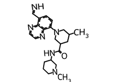 CC1CC(C(=O)NC2CCCN(C)C2)CN(c2ccc(C=N)c3nccnc23)C1